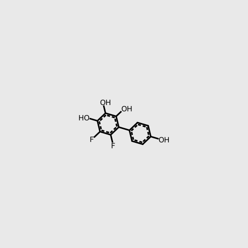 Oc1ccc(-c2c(O)c(O)c(O)c(F)c2F)cc1